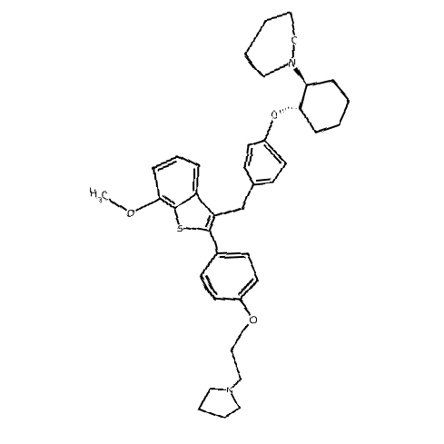 COc1cccc2c(Cc3ccc(O[C@H]4CCCC[C@@H]4N4CCCCC4)cc3)c(-c3ccc(OCCN4CCCC4)cc3)sc12